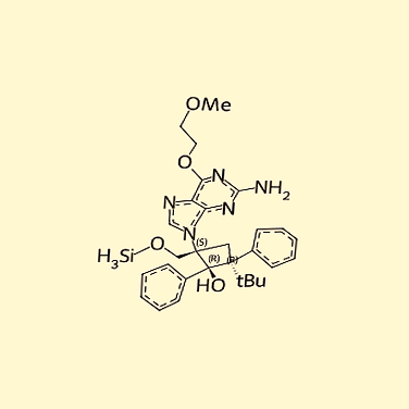 COCCOc1nc(N)nc2c1ncn2[C@]1(CO[SiH3])C[C@](c2ccccc2)(C(C)(C)C)[C@]1(O)c1ccccc1